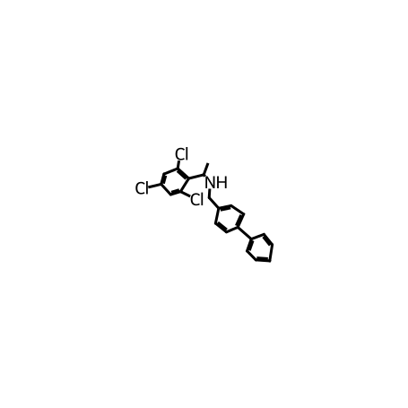 CC(NCc1ccc(-c2ccccc2)cc1)c1c(Cl)cc(Cl)cc1Cl